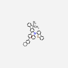 CC1(C)c2ccccc2-c2cc(-c3ccc(-c4ccc5c(c4)CCCC5)cc3)c(N(c3ccccc3)c3cccc4c3sc3ccccc34)cc21